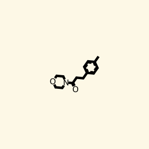 Cc1ccc(CCC(=O)N2CCOCC2)cc1